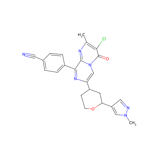 Cc1nc2c(-c3ccc(C#N)cc3)nc(C3CCOC(c4cnn(C)c4)C3)cn2c(=O)c1Cl